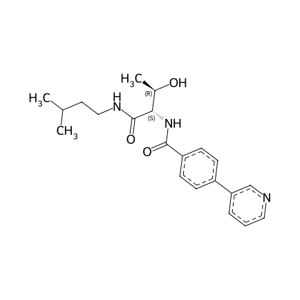 CC(C)CCNC(=O)[C@@H](NC(=O)c1ccc(-c2cccnc2)cc1)[C@@H](C)O